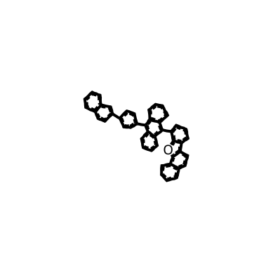 c1ccc2cc(-c3ccc(-c4c5ccccc5c(-c5cccc6c5oc5c7ccccc7ccc65)c5ccccc45)cc3)ccc2c1